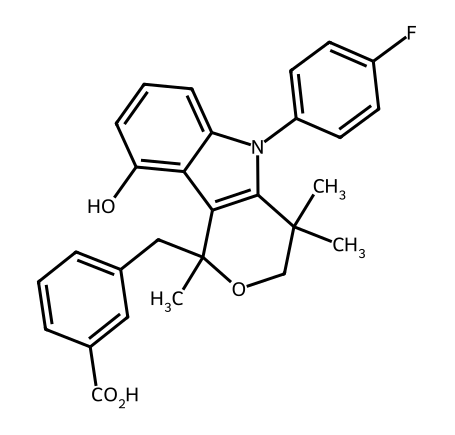 CC1(C)COC(C)(Cc2cccc(C(=O)O)c2)c2c1n(-c1ccc(F)cc1)c1cccc(O)c21